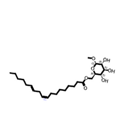 CCCCCC=CC/C=C\CCCCCCCC(=O)OC[C@H]1O[C@H](OC)[C@H](O)[C@@H](O)[C@@H]1O